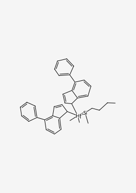 CCCC[Si](C)=[Hf]([CH3])([CH3])([CH]1C=Cc2c(-c3ccccc3)cccc21)[CH]1C=Cc2c(-c3ccccc3)cccc21